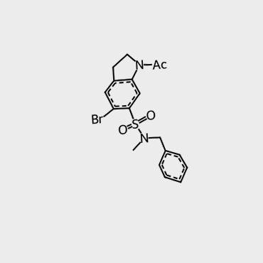 CC(=O)N1CCc2cc(Br)c(S(=O)(=O)N(C)Cc3ccccc3)cc21